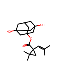 CC(C)=CC1(C(=O)OC23CC4CC(O)(CC(O)(C4)C2)C3)CC1(C)C